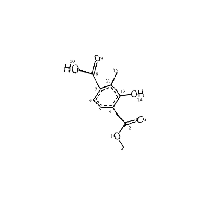 COC(=O)c1ccc(C(=O)O)c(C)c1O